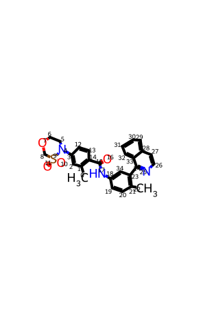 Cc1cc(N2CCOCS2(=O)=O)ccc1C(=O)Nc1ccc(C)c(-c2nccc3ccccc23)c1